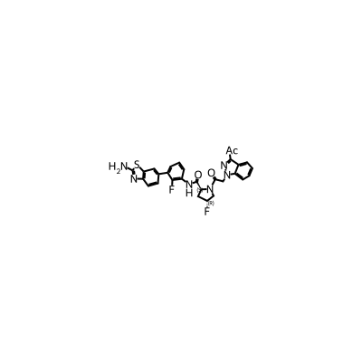 CC(=O)c1nn(CC(=O)N2C[C@H](F)C[C@H]2C(=O)Nc2cccc(-c3ccc4nc(N)sc4c3)c2F)c2ccccc12